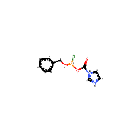 O=C(OP(Cl)OCc1ccccc1)n1ccnc1